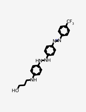 OCCCNc1ccc(NNc2ccc(/N=N/c3ccc(C(F)(F)F)cc3)cc2)cc1